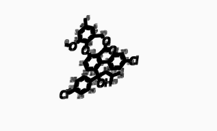 COc1cc(C)cc2c1Oc1ccc(C(O)(CC(C)C)c3ccc(Cl)cc3)c(-c3ccc(Cl)cc3)c1C(=O)OC2